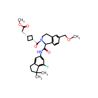 COCc1ccc2c(c1)CCN(C(=O)[C@H]1C[C@@H](CC(=O)OC)C1)C2C(=O)Nc1cc(F)c2c(c1)CCC2(C)C